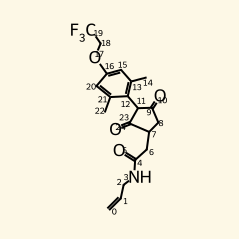 C=CCNC(=O)CC1CC(=O)C(c2c(C)cc(OCC(F)(F)F)cc2C)C1=O